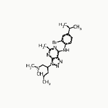 CCCC(CN(C)C)n1nnc2c(Nc3ccc(C(C)C)cc3Br)nc(C)nc21